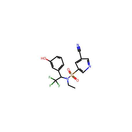 CCN(C(c1cccc(O)c1)C(F)(F)F)S(=O)(=O)c1cncc(C#N)c1